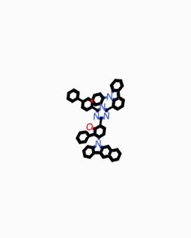 c1ccc(-c2ccc(-c3nc(-c4ccc(-n5c6ccccc6c6cc7ccccc7cc65)c5c4oc4ccccc45)nc(-c4cccc5c6ccccc6n(-c6ccccc6)c45)n3)cc2)cc1